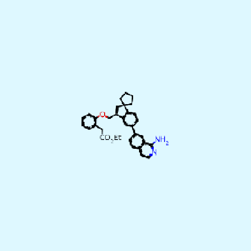 CCOC(=O)Cc1ccccc1OCC1=CC2(CCCC2)c2ccc(-c3ccc4ccnc(N)c4c3)cc21